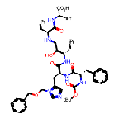 CC(C)C[C@H](NCC(O)[C@H](CC(C)C)NC(=O)[C@H](Cc1cncn1COCc1ccccc1)NC(=O)[C@H](Cc1ccccc1)NC(=O)OC(C)(C)C)C(=O)N[C@H](C(=O)O)C(C)C